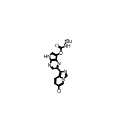 CC(C)(C)NC(=O)Oc1c[nH]c2ncc(-c3ncn4cc(Cl)ccc34)nc12